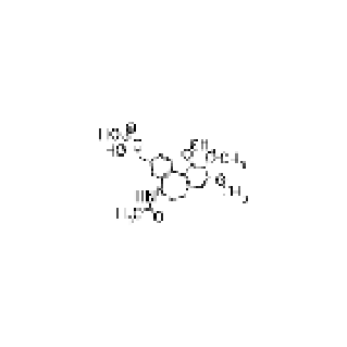 COc1cc2c(c(OC)c1OC)-c1ccc(COP(=O)(O)O)cc1[C@@H](NC(C)=O)CC2